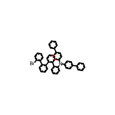 Brc1ccccc1-c1ccccc1-c1ccccc1-c1ccccc1N(c1ccc(-c2ccccc2)cc1)c1ccc(-c2ccccc2)cc1